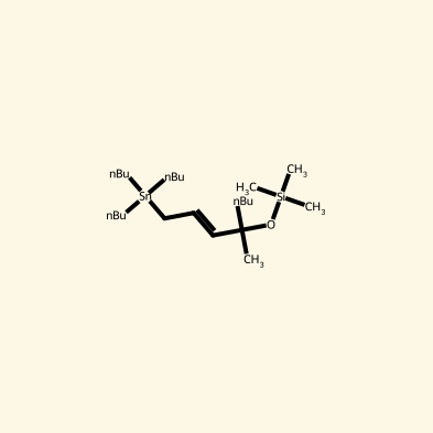 CCCCC(C)(/C=C/[CH2][Sn]([CH2]CCC)([CH2]CCC)[CH2]CCC)O[Si](C)(C)C